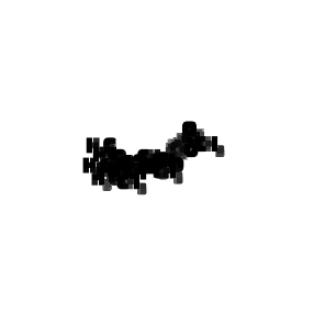 CCNC(=O)[C@H](C)NC(=O)[C@@H](NC(=O)COC(C)(C)COC(C)(C)CNC(=O)[C@H]1CC[C@H](CN2C(=O)CC(C)C2=O)CC1)C(C)C